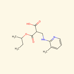 CCC(C)OC(=O)C(CNc1ncccc1C)C(=O)O